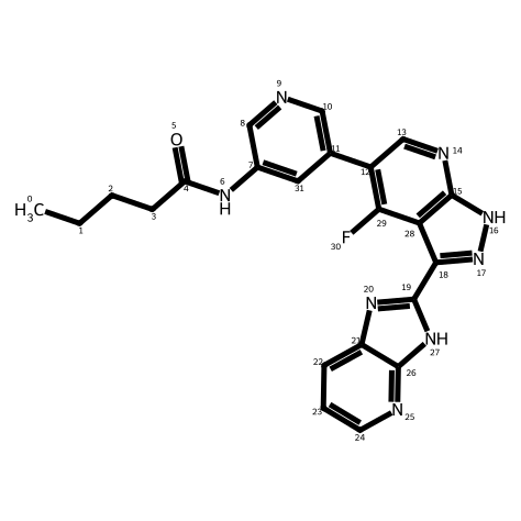 CCCCC(=O)Nc1cncc(-c2cnc3[nH]nc(-c4nc5cccnc5[nH]4)c3c2F)c1